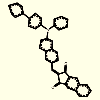 O=C1C(=Cc2ccc3cc(N(c4ccccc4)c4ccc(-c5ccccc5)cc4)ccc3c2)C(=O)c2cc3ccccc3cc21